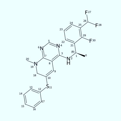 C[C@@H](Nc1ncnc2c1C=C(Sc1ccccc1)CN2C)c1cccc(C(F)F)c1F